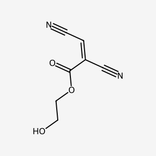 N#CC=C(C#N)C(=O)OCCO